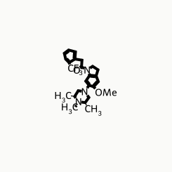 COc1cc2c(cc1N1C[C@@H](C)N(C)[C@@H](C)C1)N(C(=O)Cc1ccccc1C(F)(F)F)CC2